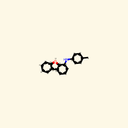 Cc1ccc(Nc2cccc3c2oc2ccccc23)cc1